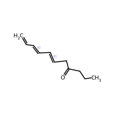 C=C/C=C/C=C/CC(=O)CCC